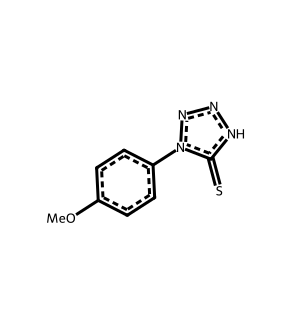 COc1ccc(-n2nn[nH]c2=S)cc1